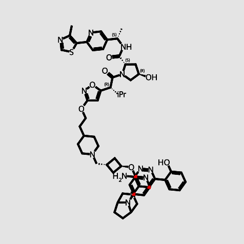 Cc1ncsc1-c1ccc([C@H](C)NC(=O)[C@@H]2C[C@@H](O)CN2C(=O)[C@@H](c2cc(OCCC3CCN(C[C@H]4C[C@H](Oc5cc(N6C7CCC6CN(c6cc(-c8ccccc8O)nnc6N)C7)ccn5)C4)CC3)no2)C(C)C)cn1